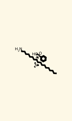 CCCCCCCCCCCCCCCCCCN.CN(C)C.O=S(=O)(O)c1ccccc1